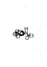 CCC(=O)Nc1ccc(S(=O)(=O)Cl)nc1